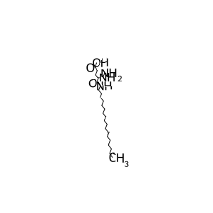 CCCCCCCCCCCCCCCCCCNC(=O)C(CCC(=O)O)NN